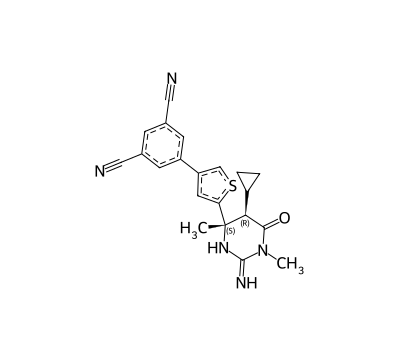 CN1C(=N)N[C@](C)(c2cc(-c3cc(C#N)cc(C#N)c3)cs2)[C@@H](C2CC2)C1=O